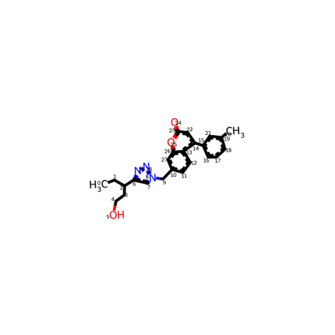 CCC(CCO)c1cn(Cc2ccc3c(-c4cccc(C)c4)cc(=O)oc3c2)nn1